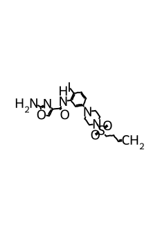 C=CCCS(=O)(=O)N1CCN(c2ccc(I)c(NC(=O)c3coc(N)n3)c2)CC1